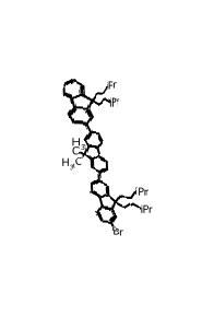 CC(C)CCC1(CCC(C)C)c2ccccc2-c2ccc(-c3ccc4c(c3)C(C)(C)c3cc(-c5ccc6c(c5)C(CCC(C)C)(CCC(C)C)c5cc(Br)ccc5-6)ccc3-4)cc21